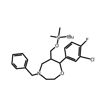 CC(C)(C)[Si](C)(C)OCC1CN(Cc2ccccc2)CCOC1c1ccc(F)c(Cl)c1